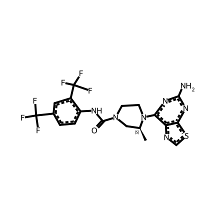 C[C@H]1CN(C(=O)Nc2ccc(C(F)(F)F)cc2C(F)(F)F)CCN1c1nc(N)nc2scnc12